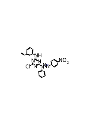 C=Cc1cccc(Nc2nc(Cl)nc(N(/N=N/c3ccc([N+](=O)[O-])cc3)c3ccccc3)n2)c1